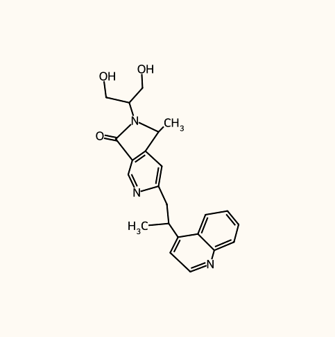 CC(Cc1cc2c(cn1)C(=O)N(C(CO)CO)C2C)c1ccnc2ccccc12